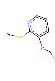 CC(C)Sc1ncccc1OCF